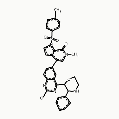 Cc1ccc(S(=O)(=O)n2ccc3c(-c4ccc5nc(Cl)nc(C6OCCNC6c6ccccc6)c5c4)cn(C)c(=O)c32)cc1